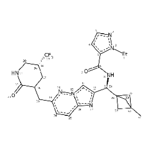 CCn1nccc1C(=O)N[C@H](c1cn2nc(CC3C[C@@H](C(F)(F)F)CNC3=O)ccc2n1)C12CC(C)(C1)C2